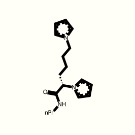 CCCNC(=O)[C@H](CCCCn1cccc1)n1cccc1